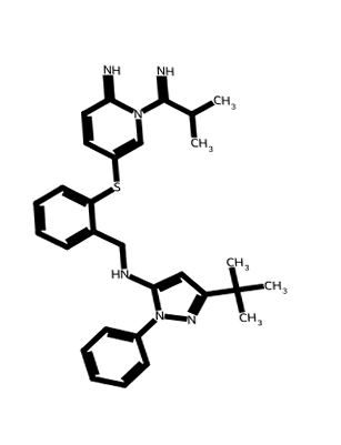 CC(C)C(=N)n1cc(Sc2ccccc2CNc2cc(C(C)(C)C)nn2-c2ccccc2)ccc1=N